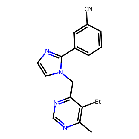 CCc1c(C)ncnc1Cn1ccnc1-c1cccc(C#N)c1